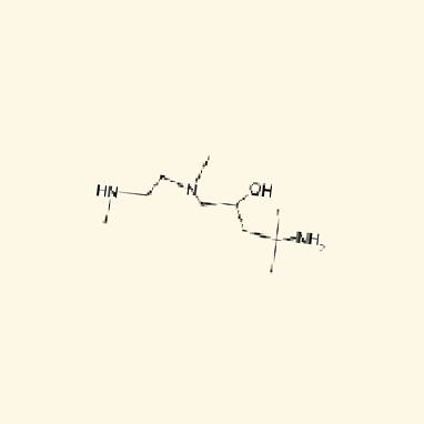 CNCCN(C)CC(O)CC(C)(C)N